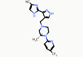 C[C@@H]1CN(Cc2c[nH]nc2-c2nc(C#N)c[nH]2)CCN1c1ccc(C(F)(F)F)cn1